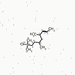 C/C=C/C(C)CC(C)CCS(C)(C)Cl